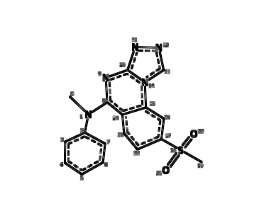 CN(c1ccccc1)c1nc2nncn2c2cc(S(C)(=O)=O)ccc12